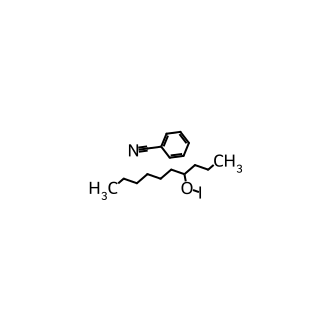 CCCCCCC(CCC)OI.N#Cc1ccccc1